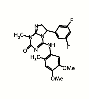 COc1cc(C)c(NC2=NC(=O)N(C)C3=NCC(c4cc(F)cc(F)c4)N23)cc1OC